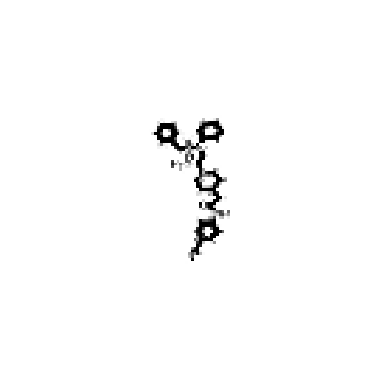 C[C@H](CN(c1ccccc1)S(=O)(=O)Cc1ccccc1)N1CCC(CC(=O)Nc2ccc(C#N)cc2)CC1